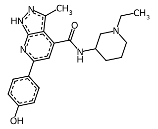 CCN1CCCC(NC(=O)c2cc(-c3ccc(O)cc3)nc3[nH]nc(C)c23)C1